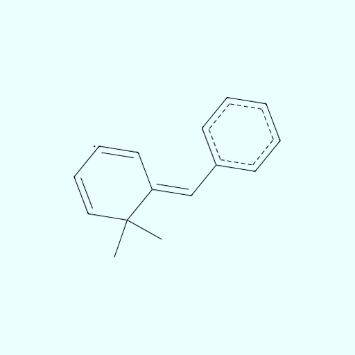 CC1(C)C=C[C]=CC1=Cc1ccccc1